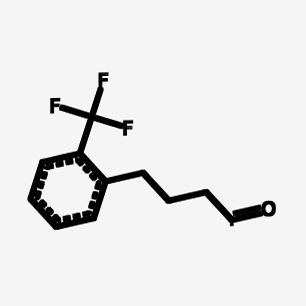 O=[C]CCCc1ccccc1C(F)(F)F